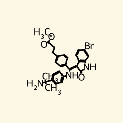 COC(=O)CCc1ccc(/C(Nc2ccc(C(C)(C)N)cc2)=C2/C(=O)Nc3cc(Br)ccc32)cc1